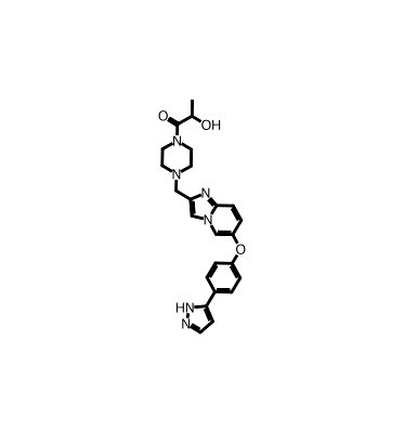 CC(O)C(=O)N1CCN(Cc2cn3cc(Oc4ccc(-c5ccn[nH]5)cc4)ccc3n2)CC1